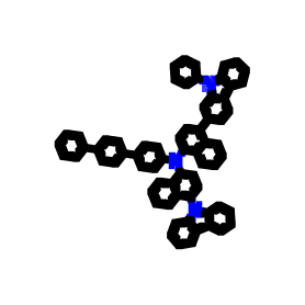 c1ccc(-c2ccc(-c3ccc(N(c4ccc(-c5ccc6c7ccccc7n(-c7ccccc7)c6c5)c5ccccc45)c4ccc(-n5c6ccccc6c6ccccc65)c5ccccc45)cc3)cc2)cc1